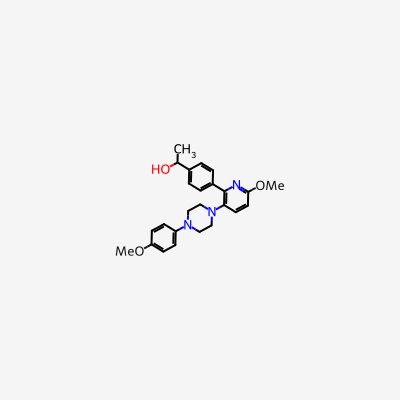 COc1ccc(N2CCN(c3ccc(OC)nc3-c3ccc(C(C)O)cc3)CC2)cc1